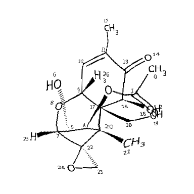 CC(=O)O[C@@H]1[C@@H](O)[C@H]2O[C@@H]3C=C(C)C(=O)[C@@H](O)[C@]3(CO)[C@]1(C)[C@]21CO1